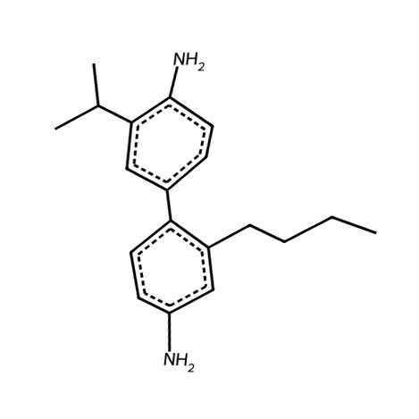 CCCCc1cc(N)ccc1-c1ccc(N)c(C(C)C)c1